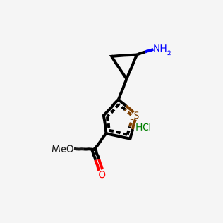 COC(=O)c1csc(C2CC2N)c1.Cl